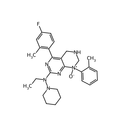 CCN(c1nc(-c2ccc(F)cc2C)c2c(n1)[N+]([O-])(c1ccccc1C)CNC2)N1CCCCC1